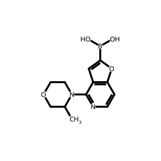 CC1COCCN1c1nccc2oc(B(O)O)cc12